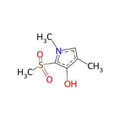 Cc1cn(C)c(S(C)(=O)=O)c1O